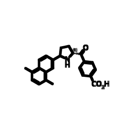 Cc1ccc(C)c2cc(C3CC[C@H](C(=O)c4ccc(C(=O)O)cc4)N3)ccc12